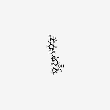 CC(O)c1ccccc1-c1ccc2[nH]c(CCc3ccc(OC(C)C(F)(F)F)cc3)nc2c1